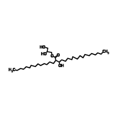 CCCCCCCCCCCCCCCC(O)C(CCCCCCCCCCCCCC)C(=O)OCC(O)CO